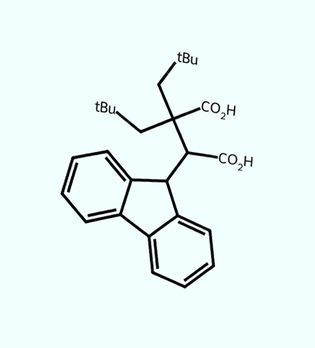 CC(C)(C)CC(CC(C)(C)C)(C(=O)O)C(C(=O)O)C1c2ccccc2-c2ccccc21